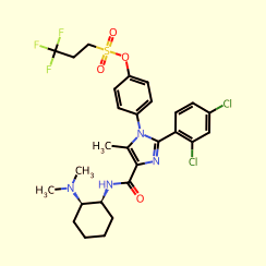 Cc1c(C(=O)N[C@H]2CCCC[C@H]2N(C)C)nc(-c2ccc(Cl)cc2Cl)n1-c1ccc(OS(=O)(=O)CCC(F)(F)F)cc1